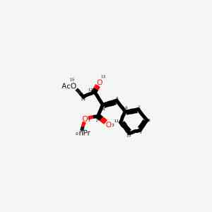 CCCOC(=O)/C(=C\c1ccccc1)C(=O)COC(C)=O